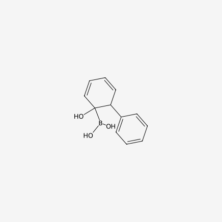 OB(O)C1(O)C=CC=CC1c1ccccc1